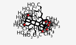 CC1(C)CC(C(CN(CC(=O)O)CC(=O)O)N(CC(=O)O)C(C2CC(C)(C)NC(C)(C)C2)(C2CC(C)(C)NC(C)(C)C2)C(C2CC(C)(C)NC(C)(C)C2)(C2CC(C)(C)NC(C)(C)C2)N(CC(=O)O)CC(=O)O)CC(C)(C)N1